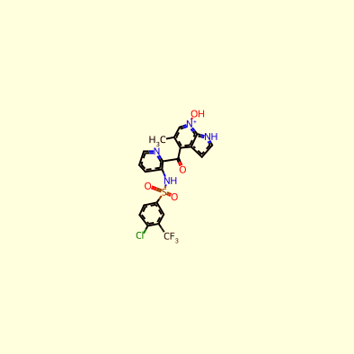 Cc1c[n+](O)c2[nH]ccc2c1C(=O)c1ncccc1NS(=O)(=O)c1ccc(Cl)c(C(F)(F)F)c1